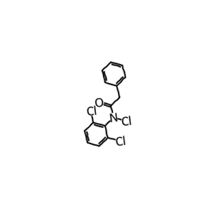 O=C(Cc1ccccc1)N(Cl)c1c(Cl)cccc1Cl